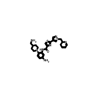 NCC1CCN(c2ccc(N)cc2NC(=O)c2csc(-c3cnn(CC4CC=CC=N4)c3)n2)CC1